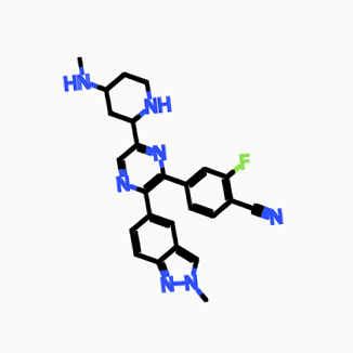 CNC1CCNC(c2cnc(-c3ccc4nn(C)cc4c3)c(-c3ccc(C#N)c(F)c3)n2)C1